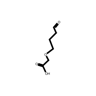 O=C[CH]CCOCC(=O)O